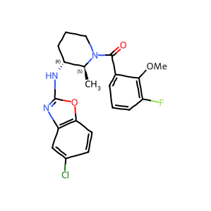 COc1c(F)cccc1C(=O)N1CCC[C@@H](Nc2nc3cc(Cl)ccc3o2)[C@@H]1C